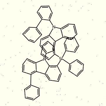 c1ccc(-c2ccccc2-n2c3ccccc3c3cc(-n4c5cccc(-c6ccccc6)c5c5cccc([Si](c6ccccc6)(c6ccccc6)c6ccccc6)c54)ccc32)cc1